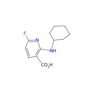 O=C(O)c1ccc(F)nc1NC1CCCCC1